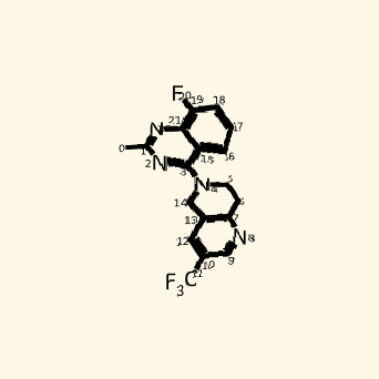 Cc1nc(N2CCc3ncc(C(F)(F)F)cc3C2)c2cccc(F)c2n1